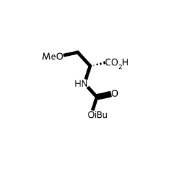 COC[C@@H](NC(=O)OCC(C)C)C(=O)O